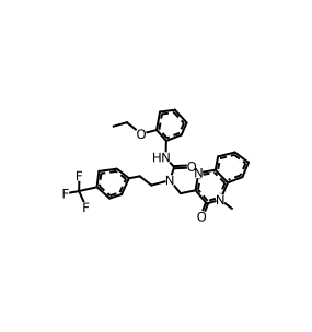 CCOc1ccccc1NC(=O)N(CCc1ccc(C(F)(F)F)cc1)Cc1nc2ccccc2n(C)c1=O